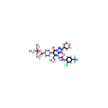 CCc1c(N2CCN(C(=O)OC(C)(C)C)CC2)c(=O)n2nc(C3=CCOCC3)nc2n1CC(=O)Nc1ccc(C(F)(F)F)cc1Cl